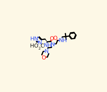 CC(C)(CNC(=O)CN(CCN1CCOCC1)C(=O)[C@H](Cc1c[nH]cn1)NC(=O)O)c1ccccc1